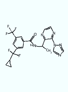 CC(NC(=O)c1cc(C(F)(F)F)cc(C(F)(F)C2CC2)c1)c1nccnc1-n1cncn1